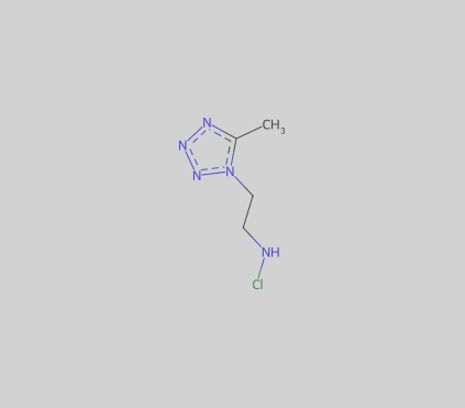 Cc1nnnn1CCNCl